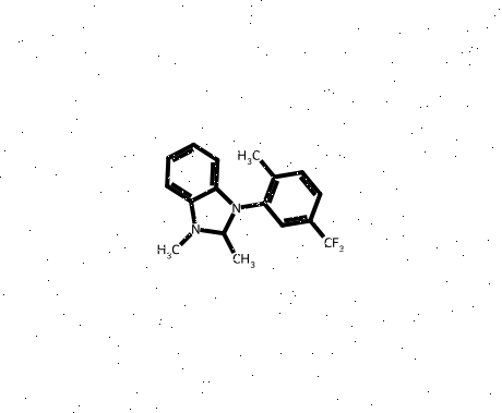 Cc1ccc(C(F)(F)F)cc1N1c2ccccc2N(C)C1C